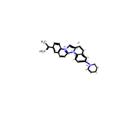 CC(C)c1ccc2c(ccc3n4c(ccc5cc(N6CCCCC6)ccc54)c[n+]23)c1.[I-]